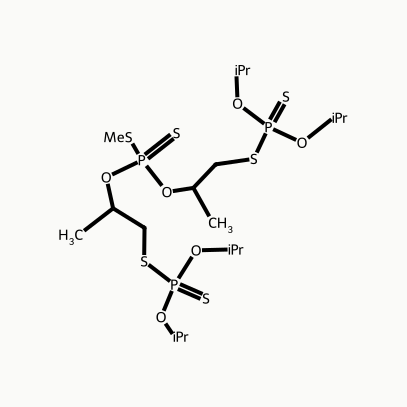 CSP(=S)(OC(C)CSP(=S)(OC(C)C)OC(C)C)OC(C)CSP(=S)(OC(C)C)OC(C)C